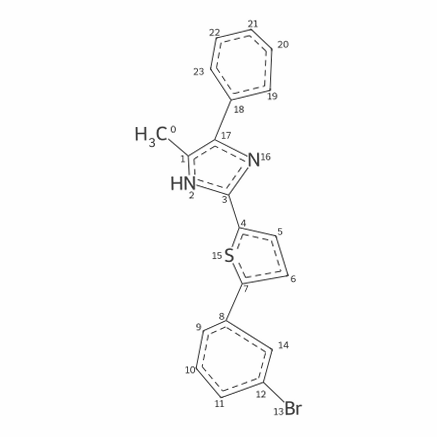 Cc1[nH]c(-c2ccc(-c3cccc(Br)c3)s2)nc1-c1ccccc1